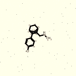 CNCC1=C(c2ccc(Cl)cc2)C2CCC1CC2